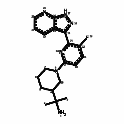 CC(C)(N)C1CCCN(c2ccc(F)c(-c3n[nH]c4ncccc34)n2)C1